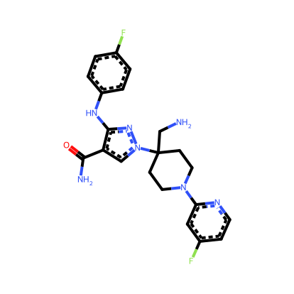 NCC1(n2cc(C(N)=O)c(Nc3ccc(F)cc3)n2)CCN(c2cc(F)ccn2)CC1